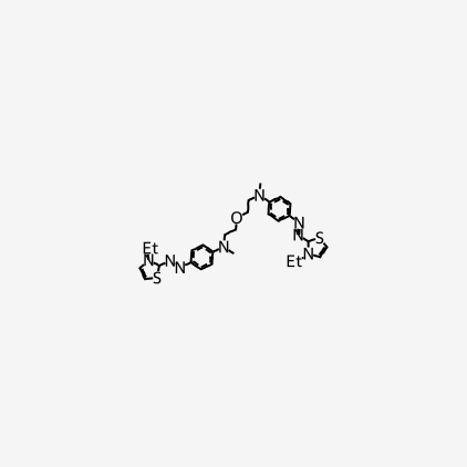 CCN1C=CSC1N=Nc1ccc(N(C)CCOCCN(C)c2ccc(N=NC3SC=CN3CC)cc2)cc1